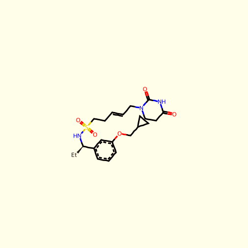 CC[C@@H](NS(=O)(=O)CC/C=C/CN1CCC(=O)NC1=O)c1cccc(OCC2CC2)c1